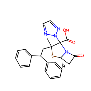 CC1(CC(c2ccccc2)c2ccccc2)S[C@@H]2CC(=O)N2C1(C(=O)O)n1nccn1